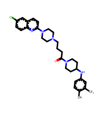 N#Cc1ccc(NC2CCN(C(=O)CCCN3CCN(c4ccc5cc(Cl)ccc5n4)CC3)CC2)cc1C(F)(F)F